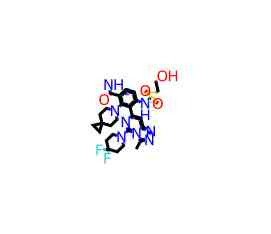 Cc1nnc2cc(-c3c(NS(=O)(=O)CCO)ccc(C(N)=O)c3N3CCC4(CC3)CC4)nc(N3CCC(F)(F)CC3)n12